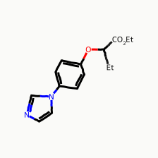 CCOC(=O)C(CC)Oc1ccc(-n2ccnc2)cc1